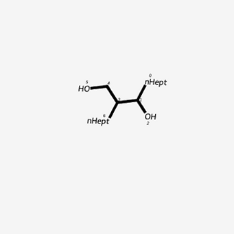 CCCCCCCC(O)C(CO)CCCCCCC